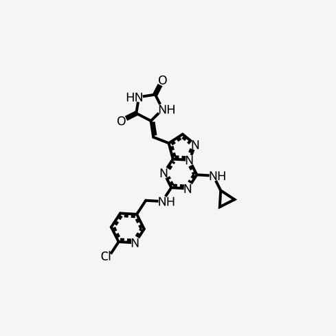 O=C1NC(=O)/C(=C/c2cnn3c(NC4CC4)nc(NCc4ccc(Cl)nc4)nc23)N1